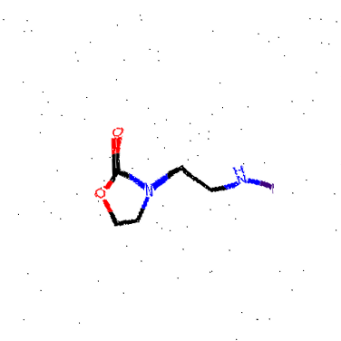 O=C1OCCN1CCNI